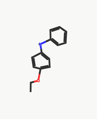 CCOc1ccc([N]c2ccccc2)cc1